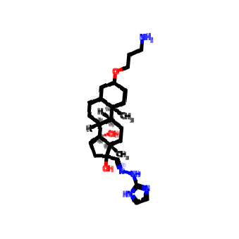 C[C@]12CCC(OCCCN)CC1CC[C@@H]1[C@H]2CC[C@]2(C)C(O)(/C=N/Nc3ncc[nH]3)CC[C@@]12O